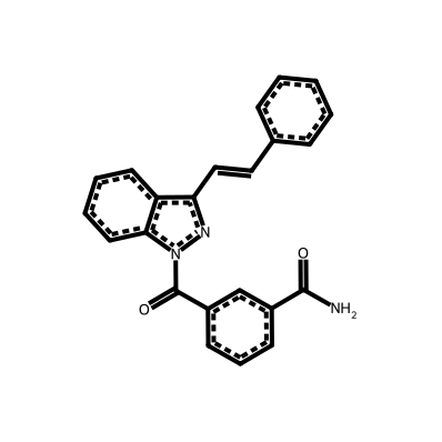 NC(=O)c1cccc(C(=O)n2nc(C=Cc3ccccc3)c3ccccc32)c1